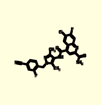 Cc1nn(Cc2ccc(C#N)cc2F)c(C)c1NC(=O)c1cc(C(N)=O)nc2cc(F)c(Cl)cc12